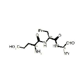 CCC[C@@H](C=O)NC(=O)[C@H](CC(C)C)NC(=O)[C@@H](N)CCC(=O)O